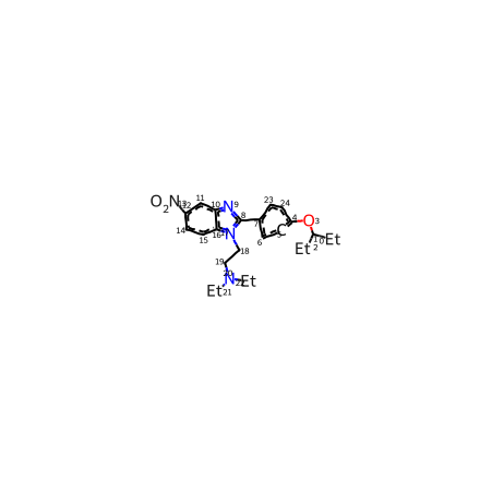 CCC(CC)Oc1ccc(-c2nc3cc([N+](=O)[O-])ccc3n2CCN(CC)CC)cc1